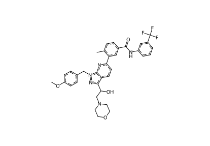 COc1ccc(Cn2nc(C(O)CN3CCOCC3)c3ccc(-c4cc(C(=O)Nc5cccc(C(F)(F)F)c5)ccc4C)nc32)cc1